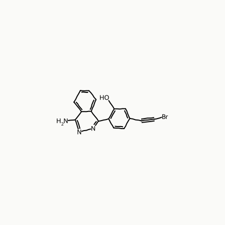 Nc1nnc(-c2ccc(C#CBr)cc2O)c2ccccc12